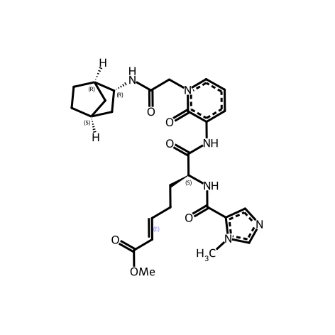 COC(=O)/C=C/CC[C@H](NC(=O)c1cncn1C)C(=O)Nc1cccn(CC(=O)N[C@@H]2C[C@H]3CC[C@@H]2C3)c1=O